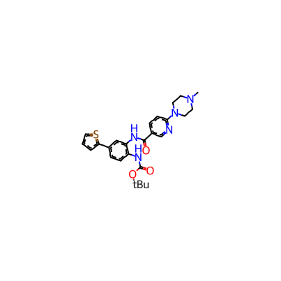 CN1CCN(c2ccc(C(=O)Nc3cc(-c4cccs4)ccc3NC(=O)OC(C)(C)C)cn2)CC1